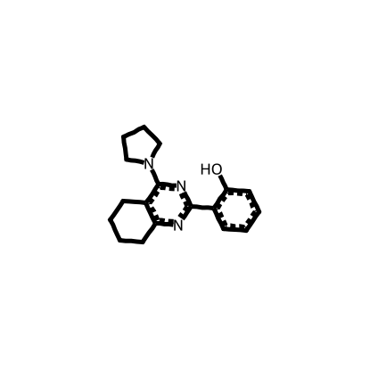 Oc1ccccc1-c1nc2c(c(N3CCCC3)n1)CCCC2